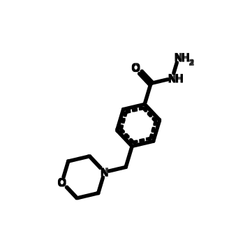 NNC(=O)c1ccc(CN2CCOCC2)cc1